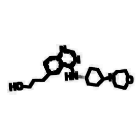 OCCCc1ccc2ncnc(N[C@H]3CC[C@H](N4CCOCC4)CC3)c2c1